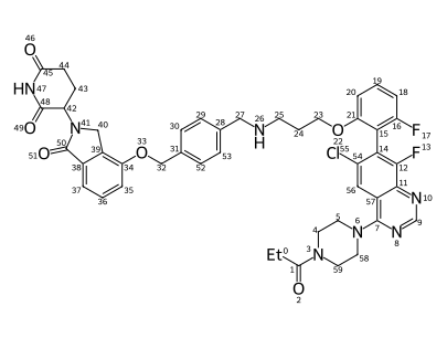 CCC(=O)N1CCN(c2ncnc3c(F)c(-c4c(F)cccc4OCCCNCc4ccc(COc5cccc6c5CN(C5CCC(=O)NC5=O)C6=O)cc4)c(Cl)cc23)CC1